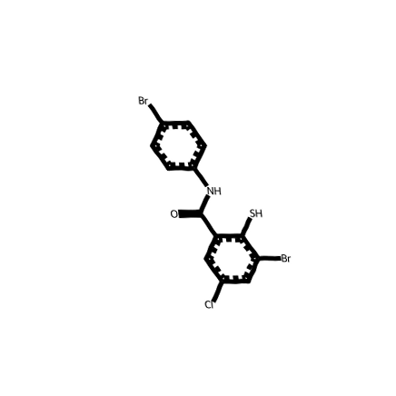 O=C(Nc1ccc(Br)cc1)c1cc(Cl)cc(Br)c1S